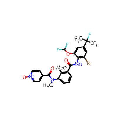 COc1c(C(=O)Nc2c(Br)cc(C(F)(C(F)(F)F)C(F)(F)F)cc2OC(F)F)cccc1N(C)C(=O)c1cc[n+]([O-])cc1